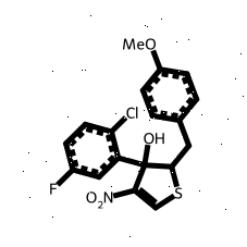 COc1ccc(CC2SC=C([N+](=O)[O-])C2(O)c2cc(F)ccc2Cl)cc1